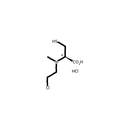 CN(CCCl)[C@@H](CS)C(=O)O.Cl